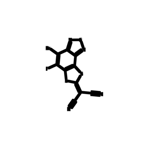 N#CC(C#N)=C1Sc2c(F)c(Br)c3nsnc3c2S1